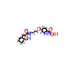 O=C(NO)c1ccc(OCCCCNC(=O)c2cc3ccccc3o2)cc1